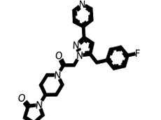 O=C(Cn1nc(-c2ccncc2)cc1Cc1ccc(F)cc1)N1CCC(N2CCCC2=O)CC1